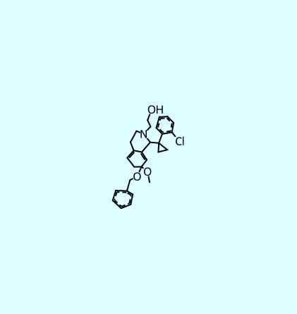 COC1(OCc2ccccc2)C=C2C(=CC1)CCN(CCO)C2C1(c2ccccc2Cl)CC1